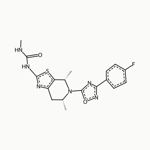 CNC(=O)Nc1nc2c(s1)[C@H](C)N(c1nc(-c3ccc(F)cc3)no1)[C@H](C)C2